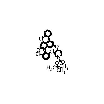 CC(C)(C)OC(=O)N1CCC(Oc2cc(-c3ccccc3Cl)c3ccc(=O)n(-c4c(Cl)cccc4Cl)c3c2)CC1